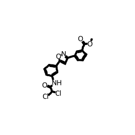 COC(=O)c1cccc(-c2cc(-c3cccc(NC(=O)C(Cl)Cl)c3)on2)c1